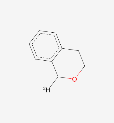 [2H]C1OCCc2ccccc21